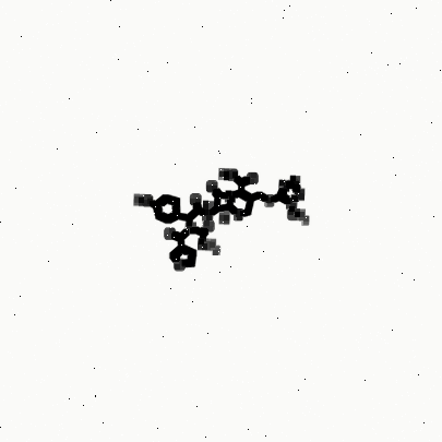 Cn1nnnc1SCC1=C(C(=O)O)N2C(=O)C(NC(=O)C(c3ccc(O)cc3)N(C(N)=O)C(=O)c3ccoc3)[C@@H]2SC1